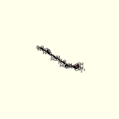 CC(C)(CC(=O)O)CC(C)(C)CC(=O)NC[C@H]1CC[C@H](C(=O)N[C@@H](CCC(=O)NCCOCCOCC(O)NCCOCCOCC(=O)N[C@@H](CCCCNC(=O)CBr)C(=O)O)C(=O)O)CC1